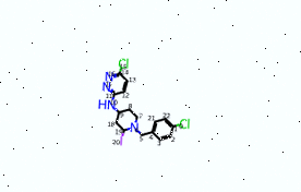 Clc1ccc(CN2CCC(Nc3ccc(Cl)nn3)CC2I)cc1